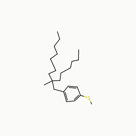 CCCCCCCC(C)(CCCCCC)Cc1ccc(SC)cc1